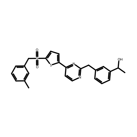 Cc1cccc(CS(=O)(=O)c2ccc(-c3ccnc(Cc4cccc(C(C)O)c4)n3)s2)c1